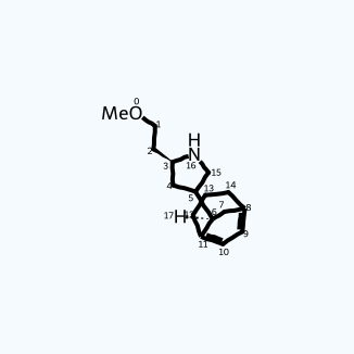 COCC[C@@H]1CC([C@H]2CC3=CC=C2CCC3)CN1